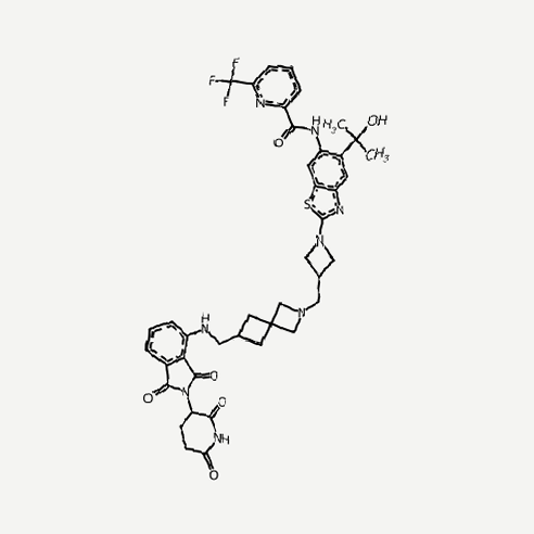 CC(C)(O)c1cc2nc(N3CC(CN4CC5(CC(CNc6cccc7c6C(=O)N(C6CCC(=O)NC6=O)C7=O)C5)C4)C3)sc2cc1NC(=O)c1cccc(C(F)(F)F)n1